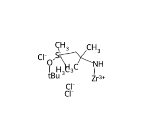 CC(C)(C[Si](C)(C)OC(C)(C)C)[NH][Zr+3].[Cl-].[Cl-].[Cl-]